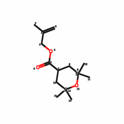 C=C(C)COC(=O)C1C[Si](C)(C)O[Si](C)(C)C1